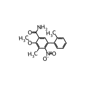 COc1c(C(N)=O)cc(-c2ccccc2C)c([N+](=O)[O-])c1C